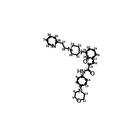 O=C(Nc1ccc(N2CCOCC2)cc1)c1cc2cccc(N3CCN(CCc4ccccn4)CC3)c2o1